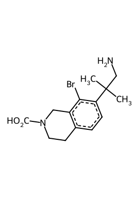 CC(C)(CN)c1ccc2c(c1Br)CN(C(=O)O)CC2